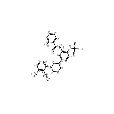 [C-]#[N+]c1c(N)ncnc1N1CCCC(c2ccc(OC(F)(F)F)c(NC(=O)c3ccccc3Cl)c2)C1